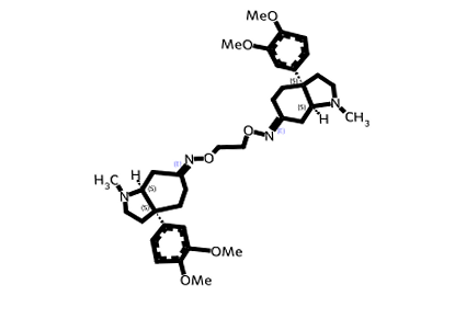 COc1ccc([C@@]23CC/C(=N\OCCO/N=C4\CC[C@@]5(c6ccc(OC)c(OC)c6)CCN(C)[C@H]5C4)C[C@@H]2N(C)CC3)cc1OC